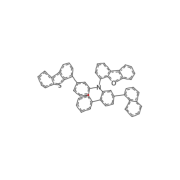 c1ccc(-c2ccc(-c3cccc4ccccc34)cc2N(c2cccc(-c3cccc4c3sc3ccccc34)c2)c2cccc3c2oc2ccccc23)cc1